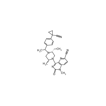 CC[C@@H]1CN(c2nc(=O)n(C)c3ccc(C#N)nc23)[C@@H](C)CN1C(C)c1ccc(C2(C#N)CC2)cc1